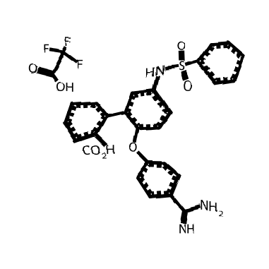 N=C(N)c1ccc(Oc2ccc(NS(=O)(=O)c3ccccc3)cc2-c2ccccc2C(=O)O)cc1.O=C(O)C(F)(F)F